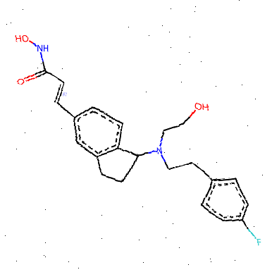 O=C(/C=C/c1ccc2c(c1)CCC2N(CCO)CCc1ccc(F)cc1)NO